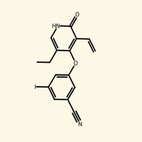 C=Cc1c(Oc2cc(I)cc(C#N)c2)c(CC)c[nH]c1=O